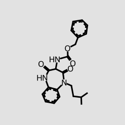 CC(C)CCN1C(=O)C(NC(=O)OCc2ccccc2)C(=O)Nc2ccccc21